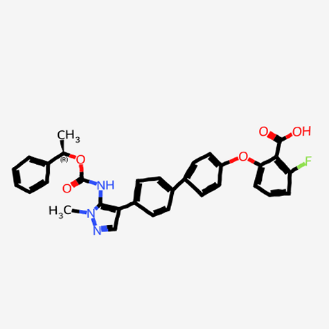 C[C@@H](OC(=O)Nc1c(-c2ccc(-c3ccc(Oc4cccc(F)c4C(=O)O)cc3)cc2)cnn1C)c1ccccc1